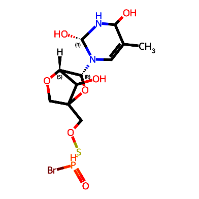 CC1=CN([C@@H]2OC3(COS[PH](=O)Br)CO[C@H]2C3O)[C@H](O)NC1O